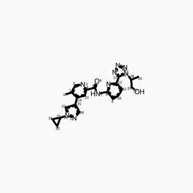 Cc1cnc(C(=O)Nc2cccc(-c3nnnn3C(C)CO)n2)cc1-c1cnn(C2CC2)c1